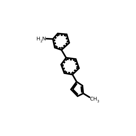 CC1=CC(c2ccc(-c3cccc(N)c3)cc2)=C=C1